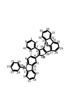 c1ccc(-c2c(-c3ccc4c(c3)c3ccccc3n4-c3ccccc3)sc3c4cccc5c6ccccc6n(c23)c54)cc1